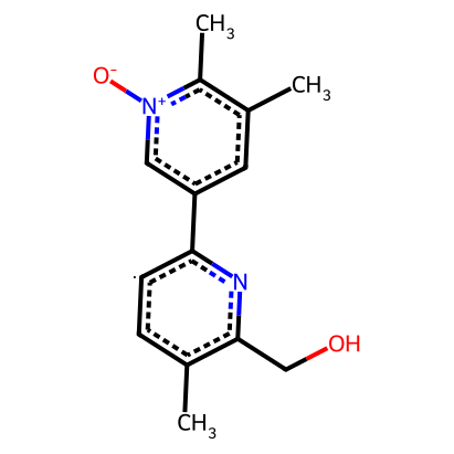 Cc1c[c]c(-c2cc(C)c(C)[n+]([O-])c2)nc1CO